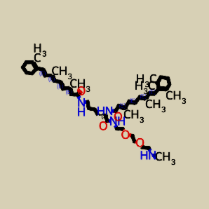 CNCCOCCOCCNC(=O)[C@H](CCCCNC(=O)/C=C(C)/C=C/C=C(C)/C=C/C1=C(C)CCCC1)NC(=O)/C=C(C)/C=C/C=C(C)/C=C/C1=C(C)CCCC1(C)C